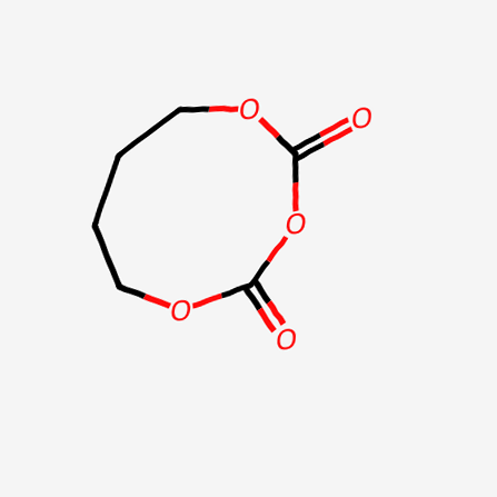 O=C1OCCCCOC(=O)O1